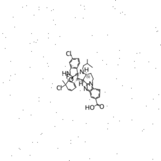 CC(C)CN1[C@H]2CCn3c(nc4cc(C(=O)O)ccc43)[C@H]2[C@H](C2=CC=CC(C)(Cl)C2F)[C@]12C(=O)Nc1cc(Cl)ccc12